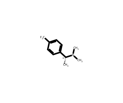 C[C@H](c1ccc(C(F)(F)F)cc1)N(C)C